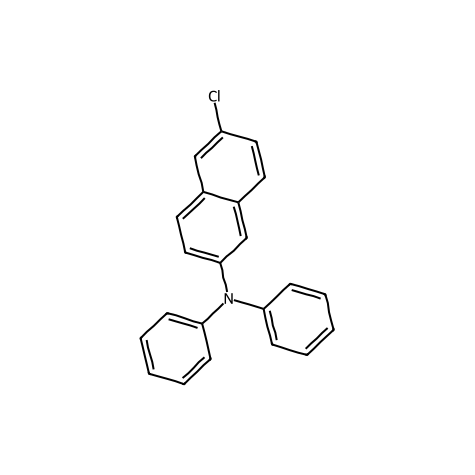 Clc1ccc2cc(N(c3ccccc3)c3ccccc3)ccc2c1